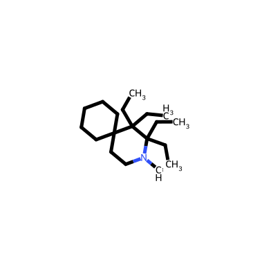 [CH]N1CCC2(CCCCC2)C(CC)(CC)C1(CC)CC